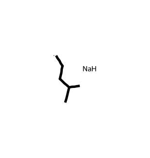 [CH2]CCC(C)C.[NaH]